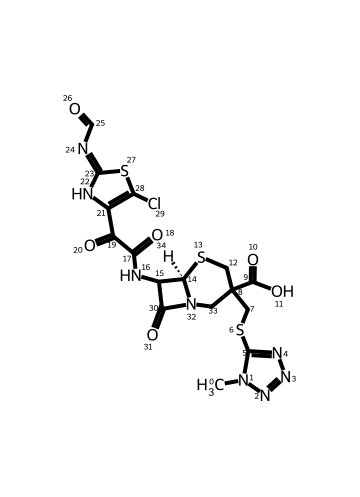 Cn1nnnc1SCC1(C(=O)O)CS[C@@H]2C(NC(=O)C(=O)c3[nH]c(=NC=O)sc3Cl)C(=O)N2C1